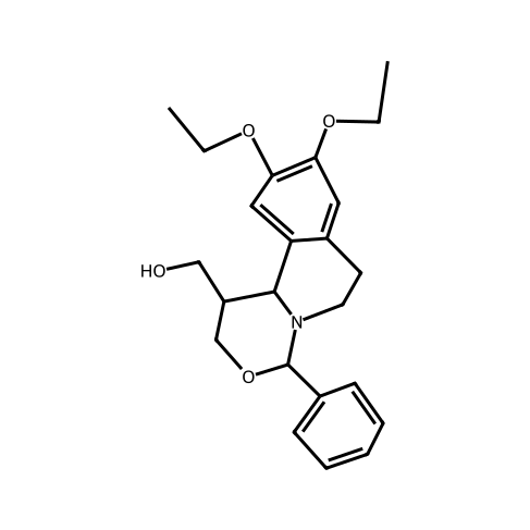 CCOc1cc2c(cc1OCC)C1C(CO)COC(c3ccccc3)N1CC2